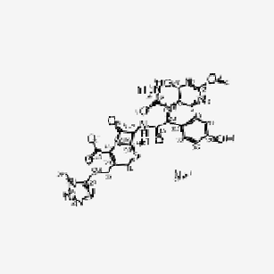 COc1ncc(N(C(N)=O)C(C(=O)NC2C(=O)N3C(C(=O)[O-])=C(CSc4nnnn4C)CS[C@H]23)c2ccc(O)cc2)c(O)n1.[Na+]